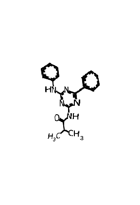 CC(C)C(=O)Nc1nc(Nc2ccccc2)nc(-c2ccccc2)n1